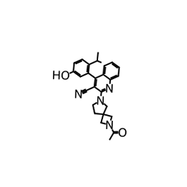 CC(=O)N1CC2(CCN(c3nc4ccccc4c(-c4cc(O)ccc4C(C)C)c3C#N)C2)C1